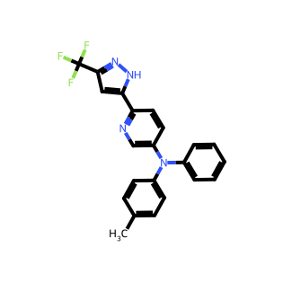 Cc1ccc(N(c2ccccc2)c2ccc(-c3cc(C(F)(F)F)n[nH]3)nc2)cc1